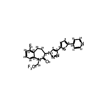 O=C1C(n2cc(-c3ccc(-c4ccncc4)s3)nn2)CCc2c(F)cccc2N1CC(F)(F)F